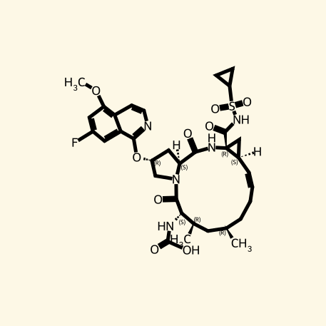 COc1cc(F)cc2c(O[C@@H]3C[C@H]4C(=O)N[C@]5(C(=O)NS(=O)(=O)C6CC6)C[C@H]5C=CCC[C@@H](C)C[C@@H](C)[C@H](NC(=O)O)C(=O)N4C3)nccc12